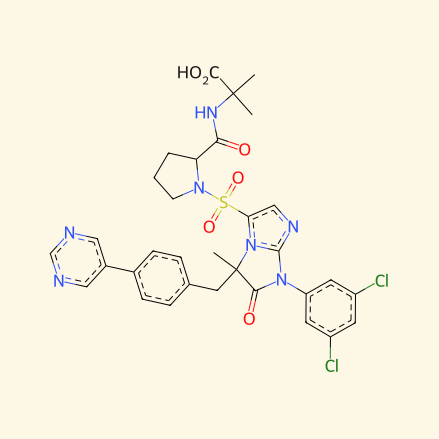 CC(C)(NC(=O)C1CCCN1S(=O)(=O)c1cnc2n1C(C)(Cc1ccc(-c3cncnc3)cc1)C(=O)N2c1cc(Cl)cc(Cl)c1)C(=O)O